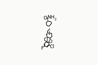 NC(=O)[C@H]1CC[C@H](CCN2CCC(Oc3c(Cl)cc(F)cc3Cl)CC2)CC1